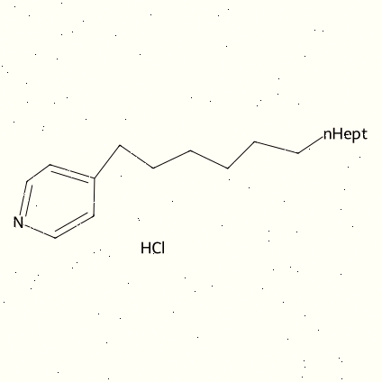 CCCCCCCCCCCCCc1ccncc1.Cl